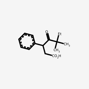 CCC(C)(C)C(=O)C(CC(=O)O)c1ccccc1